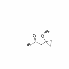 CC(C)OC1(CC(=O)C(C)C)CC1